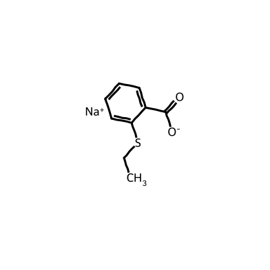 CCSc1ccccc1C(=O)[O-].[Na+]